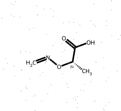 C=NO[C@@H](C)C(=O)O